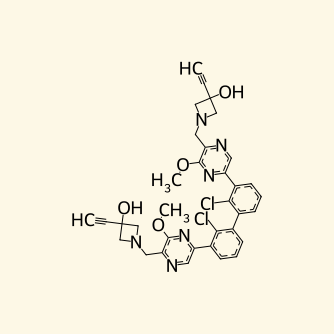 C#CC1(O)CN(Cc2ncc(-c3cccc(-c4cccc(-c5cnc(CN6CC(O)(C#C)C6)c(OC)n5)c4Cl)c3Cl)nc2OC)C1